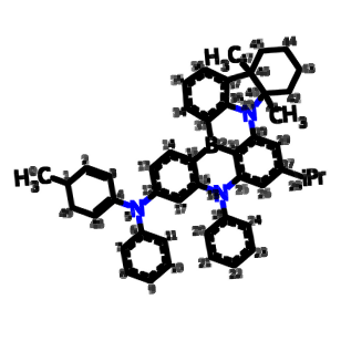 CC1C=CC(N(c2ccccc2)c2ccc3c(c2)N(c2ccccc2)c2cc(C(C)C)cc4c2B3c2cccc3c2N4C2(C)CCCCC32C)=CC1